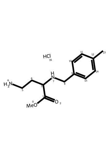 COC(=O)C(CCN)NCc1ccc(C)cc1.Cl